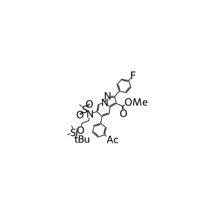 COC(=O)c1c(-c2ccc(F)cc2)nn2cc(N(CCO[Si](C)(C)C(C)(C)C)S(C)(=O)=O)c(-c3cccc(C(C)=O)c3)cc12